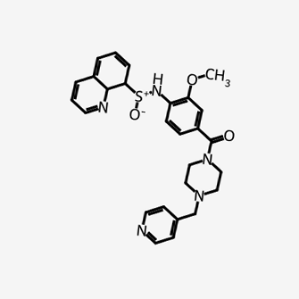 COc1cc(C(=O)N2CCN(Cc3ccncc3)CC2)ccc1N[S+]([O-])C1C=CC=C2C=CC=NC21